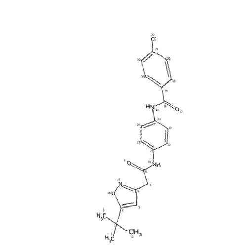 CC(C)(C)c1cc(CC(=O)Nc2ccc(NC(=O)c3ccc(Cl)cc3)cc2)no1